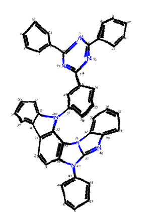 c1ccc(-c2nc(-c3ccccc3)nc(-c3cccc(-n4c5ccccc5c5ccc6c(c54)n4c5ccccc5nc4n6-c4ccccc4)c3)n2)cc1